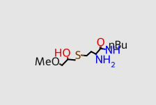 CCCCNC(=O)C(N)CCSCC(O)COC